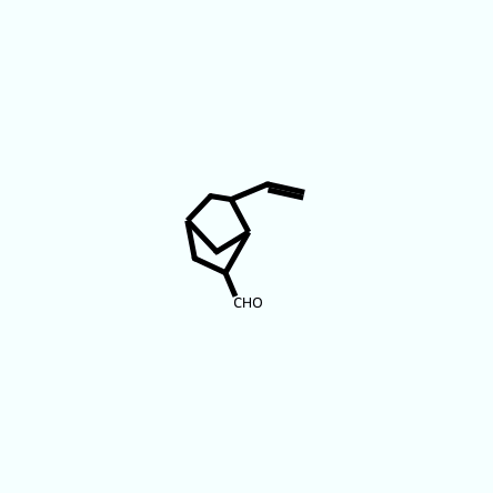 C=CC1CC2CC(C=O)C1C2